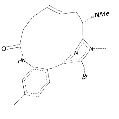 CN[C@H]1C/C=C/CCC(=O)Nc2cc(C)ccc2-c2nc1n(C)c2Br